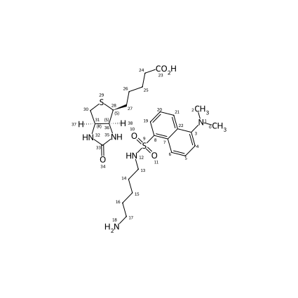 CN(C)c1cccc2c(S(=O)(=O)NCCCCCN)cccc12.O=C(O)CCCC[C@@H]1SC[C@@H]2NC(=O)N[C@@H]21